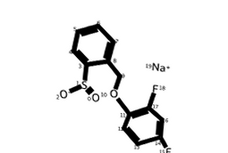 O=S([O-])c1ccccc1COc1ccc(F)cc1F.[Na+]